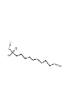 CCCCCCCCCCCCC(Cl)(Cl)O[SiH3]